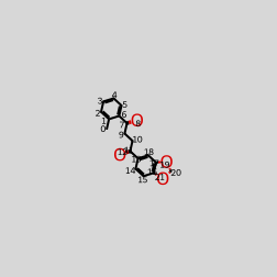 Cc1ccccc1C(=O)CCC(=O)c1ccc2c(c1)OCO2